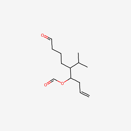 C=CCC(OC=O)C(CCCC=O)C(C)C